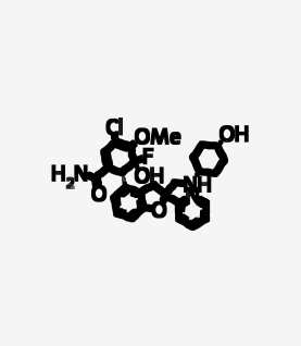 COC1=C(Cl)C=C(C(N)=O)[C@@H](c2cccc3c2CC(CN[C@H]2CC[C@@H](O)CC2)(c2ccccn2)O3)[C@]1(O)F